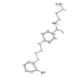 CCCc1ccccc1CCCSc1ccc(C(C)NCCCN)cc1